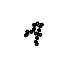 C1=Cc2c(oc3c(-c4ccc5c(c4)c4cc(-c6cccc7c6oc6ccccc67)ccc4n5-c4ccc5c(-c6ccc(-c7ccc8ccccc8c7)cc6)c6ccccc6c(-c6ccc(-c7ccc8ccccc8c7)cc6)c5c4)cccc23)CC1